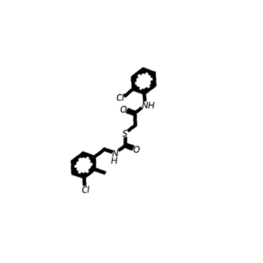 Cc1c(Cl)cccc1CNC(=O)SCC(=O)Nc1ccccc1Cl